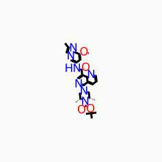 COc1cc(NC(=O)c2cnc(N3C[C@@H](C)N(C(=O)OC(C)(C)C)[C@@H](C)C3)c3cccnc23)cn2cc(C)nc12